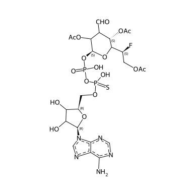 CC(=O)OC[C@H](F)C1O[C@@H](OP(=O)(O)OP(O)(=S)OC[C@H]2O[C@@H](n3cnc4c(N)ncnc43)C(O)C2O)C(OC(C)=O)C(C=O)[C@@H]1OC(C)=O